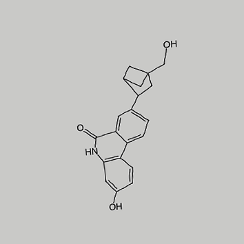 O=c1[nH]c2cc(O)ccc2c2ccc(C3CC4(CO)CC3C4)cc12